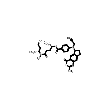 C#CCN(c1ccc(C(=O)N[C@@H](CCC(=O)N(C)[C@@H](CCC(=O)O)C(=O)O)C(=O)O)cc1)C1CCc2cc3nc(C)[nH]c(=O)c3cc21